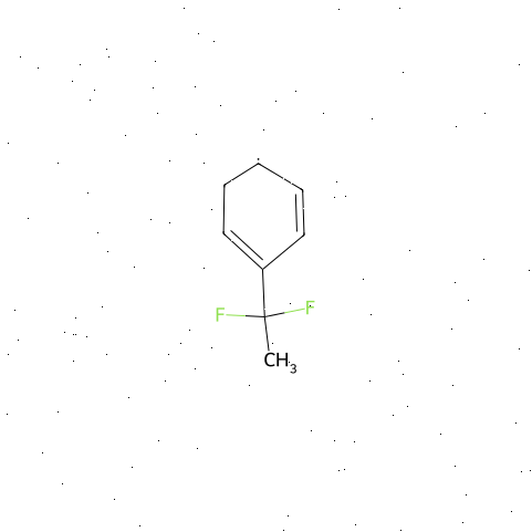 CC(F)(F)C1=CC[CH]C=C1